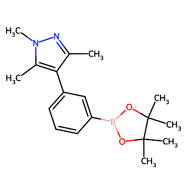 Cc1nn(C)c(C)c1-c1cccc(B2OC(C)(C)C(C)(C)O2)c1